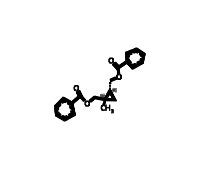 C[C@]1(COC(=O)c2ccccc2)C[C@H]1COC(=O)c1ccccc1